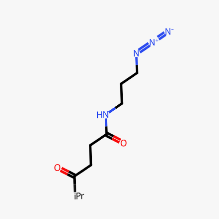 CC(C)C(=O)CCC(=O)NCCCN=[N+]=[N-]